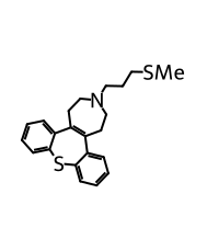 CSCCCN1CCC2=C(CC1)c1ccccc1Sc1ccccc12